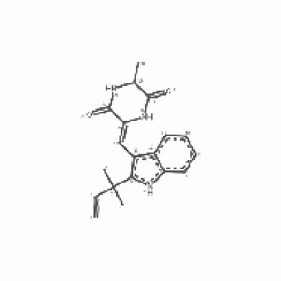 C=CC(C)(C)c1[nH]c2ccccc2c1/C=C1\NC(=O)C(C)NC1=O